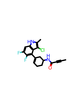 CC#CC(=O)NC1CCC=C(c2c(F)c(F)cc3[nH]c(C)c(Cl)c23)C1